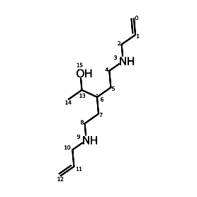 C=CCNCC[C](CCNCC=C)C(C)O